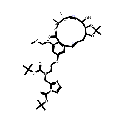 COCOc1cc(OCCN(Cc2nccn2C(=O)OC(C)(C)C)C(=O)OC(C)(C)C)cc2c1C(=O)O[C@@H](C)[C@H](C)/C=C\C(O)C1OC(C)(C)OC1C/C=C/2